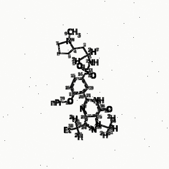 [2H]C([2H])(CC1CCCN1C)NS(=O)(=O)c1ccc(OCCC)c(-c2nc3c(C([2H])([2H])CC)nn(C([2H])([2H])[2H])c3c(=O)[nH]2)c1